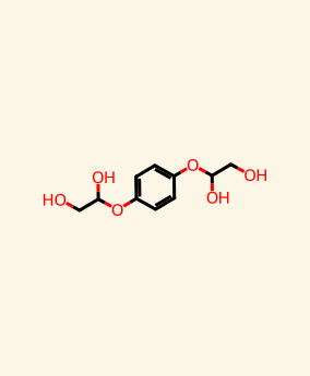 OCC(O)Oc1ccc(OC(O)CO)cc1